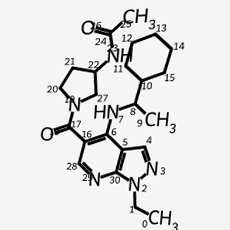 CCn1ncc2c(NC(C)C3CCCCC3)c(C(=O)N3CCC(NC(C)=O)C3)cnc21